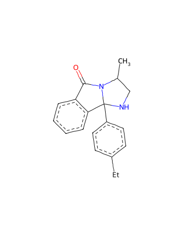 CCc1ccc(C23NCC(C)N2C(=O)c2ccccc23)cc1